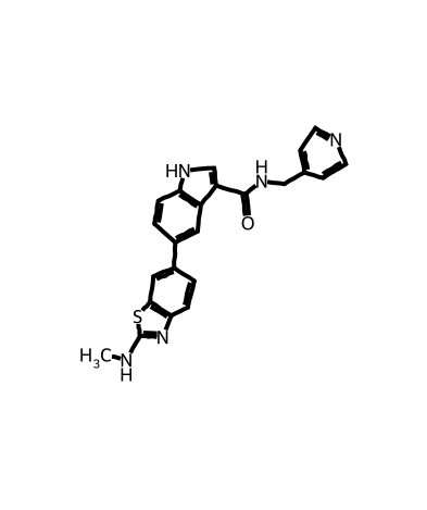 CNc1nc2ccc(-c3ccc4[nH]cc(C(=O)NCc5ccncc5)c4c3)cc2s1